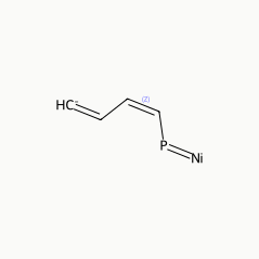 [CH-]=C/C=C\[P]=[Ni]